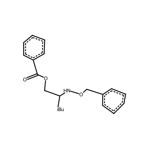 CCC(C)C(COC(=O)c1ccccc1)NOCc1ccccc1